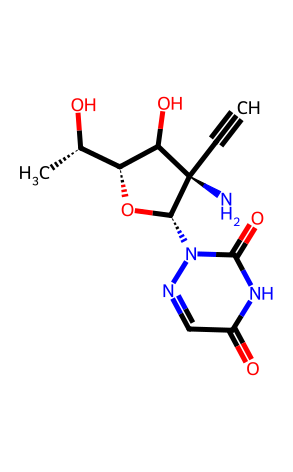 C#C[C@@]1(N)C(O)[C@@H]([C@H](C)O)O[C@H]1n1ncc(=O)[nH]c1=O